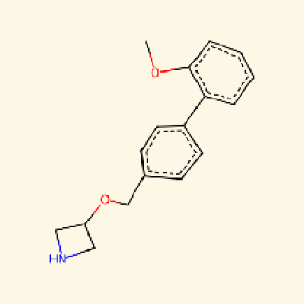 COc1ccccc1-c1ccc(COC2CNC2)cc1